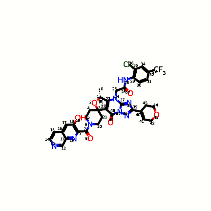 C[C@H]1OC2(CCN(C(=O)c3nc4cnccc4cc3O)CC2)c2c1n(CC(=O)Nc1ccc(C(F)(F)F)cc1Cl)c1nc(C3=CCOCC3)nn1c2=O